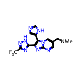 CNCc1cnc2nc(-c3nc(C(F)(F)F)n[nH]3)c(-c3cnc[nH]3)n2c1